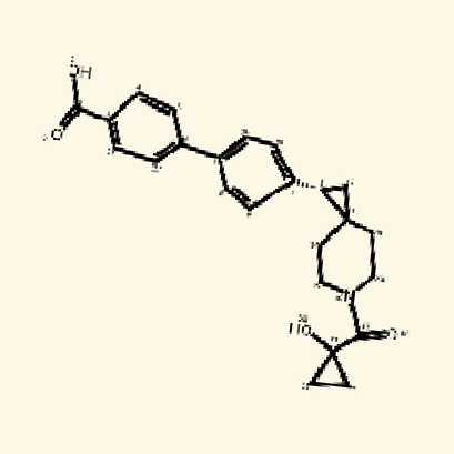 O=C(O)c1ccc(-c2ccc([C@@H]3CC34CCN(C(=O)C3(O)CC3)CC4)cc2)cc1